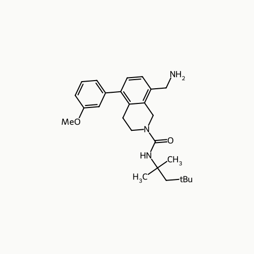 COc1cccc(-c2ccc(CN)c3c2CCN(C(=O)NC(C)(C)CC(C)(C)C)C3)c1